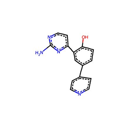 Nc1nccc(-c2cc(-c3ccncc3)ccc2O)n1